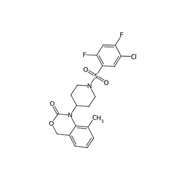 Cc1cccc2c1N(C1CCN(S(=O)(=O)c3cc(Cl)c(F)cc3F)CC1)C(=O)OC2